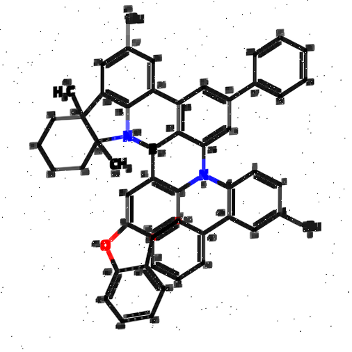 CC(C)(C)c1ccc(N2c3cc4c(cc3B3c5c(cc(-c6ccccc6)cc52)-c2cc(C(C)(C)C)cc5c2N3C2(C)CCCCC52C)oc2ccccc24)c(-c2ccccc2)c1